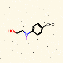 O=Cc1ccc(N(I)CCO)cc1